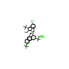 CCC1=[C]([Zr](=[CH]c2ccc(Cl)cc2)(=[CH]c2ccc(Cl)cc2)[c]2cc(C(C)(C)C)cc3c2Cc2ccc(C(C)(C)C)cc2-3)C(C)C=C1C(C)(C)C.Cl.Cl